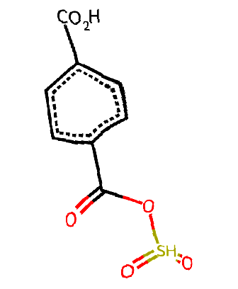 O=C(O)c1ccc(C(=O)O[SH](=O)=O)cc1